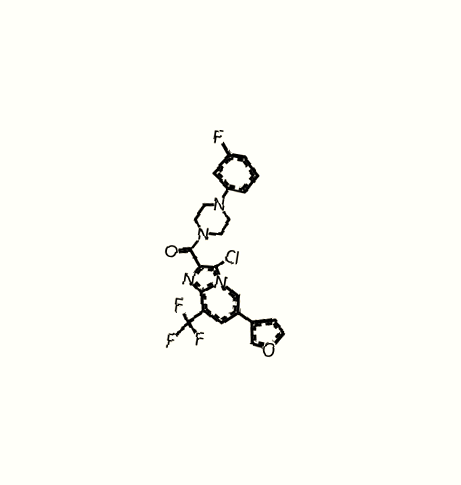 O=C(c1nc2c(C(F)(F)F)cc(-c3ccoc3)cn2c1Cl)N1CCN(c2cccc(F)c2)CC1